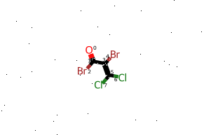 O=C(Br)C(Br)=C(Cl)Cl